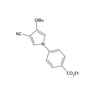 CCOC(=O)c1ccc(-n2cc(C#N)c(OCC(C)C)c2)cc1